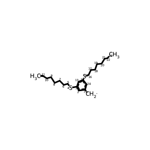 [CH2]c1cc(SCCCCCCCC)cc(SCCCCCCCC)c1